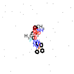 CCOC(=O)C(C)NP(=O)(COC1OC(n2cnc3c(N=P(c4ccccc4)(c4ccccc4)c4ccccc4)ncnc32)C(F)[C@@H]1C)Oc1ccccc1